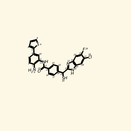 Nc1ccc(-c2cccs2)cc1NC(=O)c1ccc(C(S)c2nc3cc(F)c(Cl)cc3[nH]2)cc1